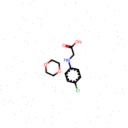 C1COCCO1.O=C(O)CNc1ccc(Cl)cc1